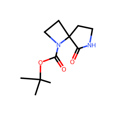 CC(C)(C)OC(=O)N1CCC12CCNC2=O